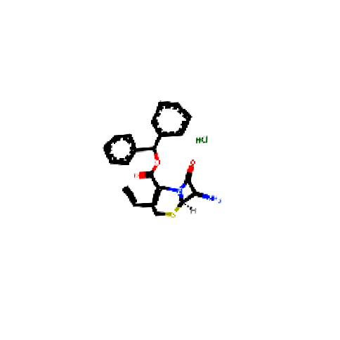 C=CC1=C(C(=O)OC(c2ccccc2)c2ccccc2)N2C(=O)C(N)[C@H]2SC1.Cl